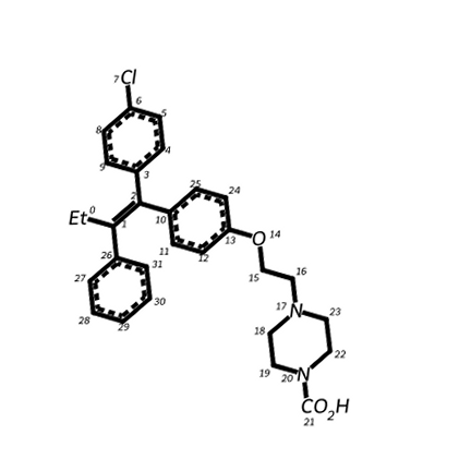 CC/C(=C(\c1ccc(Cl)cc1)c1ccc(OCCN2CCN(C(=O)O)CC2)cc1)c1ccccc1